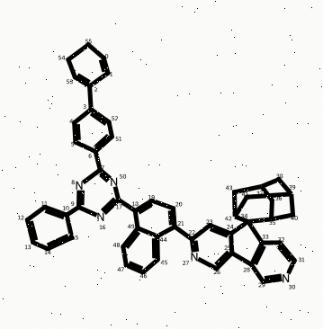 C1=CC(c2ccc(-c3nc(-c4ccccc4)nc(-c4ccc(-c5cc6c(cn5)-c5cnccc5C65C6CC7CC(C6)CC5C7)c5ccccc45)n3)cc2)=CCC1